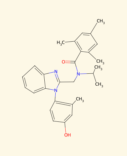 Cc1cc(C)c(C(=O)N(Cc2nc3ccccc3n2-c2ccc(O)cc2C)C(C)C)c(C)c1